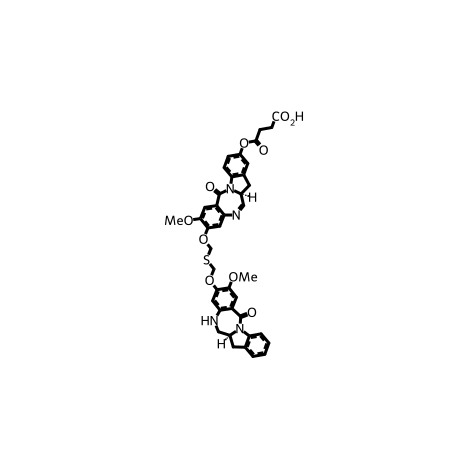 COc1cc2c(cc1OCSCOc1cc3c(cc1OC)C(=O)N1c4ccccc4C[C@H]1CN3)N=C[C@@H]1Cc3cc(OC(=O)CCC(=O)O)ccc3N1C2=O